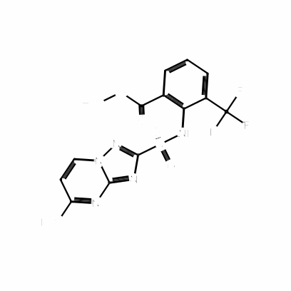 COC(=O)c1cccc(C(F)(F)F)c1NS(=O)(=O)c1nc2nc(C)ccn2n1